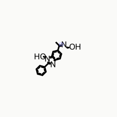 C/C(=N/CO)c1ccc2nc(-c3ccccc3)n(O)c2c1